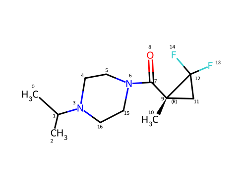 CC(C)N1CCN(C(=O)[C@@]2(C)CC2(F)F)CC1